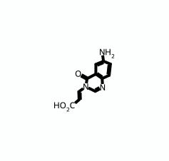 Nc1ccc2ncn(C=CC(=O)O)c(=O)c2c1